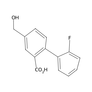 O=C(O)c1cc(CO)ccc1-c1ccccc1F